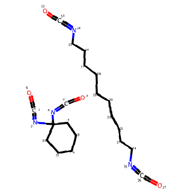 O=C=NC1(N=C=O)CCCCC1.O=C=NCCCCCCCCCCN=C=O